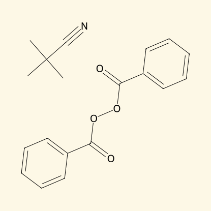 CC(C)(C)C#N.O=C(OOC(=O)c1ccccc1)c1ccccc1